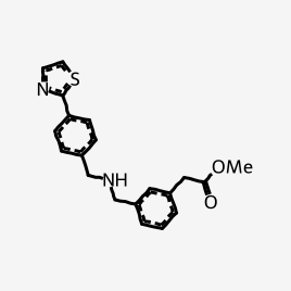 COC(=O)Cc1cccc(CNCc2ccc(-c3nccs3)cc2)c1